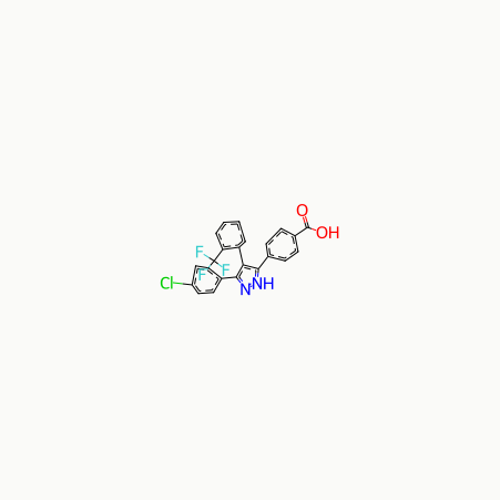 O=C(O)c1ccc(-c2[nH]nc(-c3ccc(Cl)cc3)c2-c2ccccc2C(F)(F)F)cc1